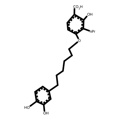 CCCc1c(OCCCCCCc2ccc(O)c(O)c2)ccc(C(=O)O)c1O